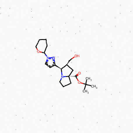 CC(C)(C)OC(=O)[C@]12CCCN1[C@@H](c1ccn(C3CCCCO3)n1)[C@@H](CO)C2